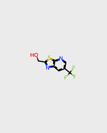 OCc1nc2cc(C(F)(F)F)cnc2s1